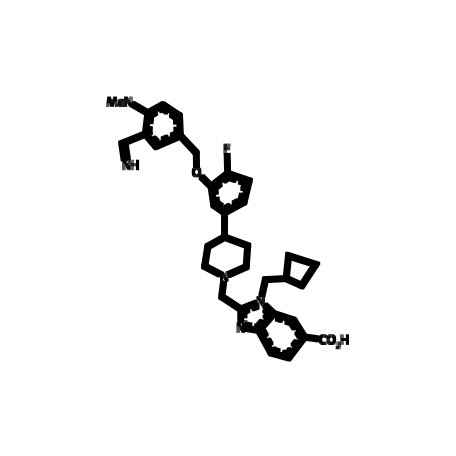 CNc1ccc(COc2cc(C3CCN(Cc4nc5ccc(C(=O)O)cc5n4CC4CCC4)CC3)ccc2F)cc1C=N